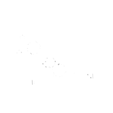 COc1ccc(-c2cn3cc(C4CCNCC4)cc(C)c3n2)cc1OC.Cl